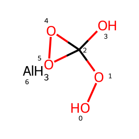 OOC1(O)OO1.[AlH3]